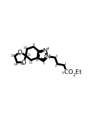 CCOC(=O)CCCn1cc2c(n1)CCC1(C2)OCCO1